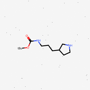 CC(C)(C)OC(=O)NCCCC1CCNC1